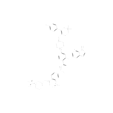 CC1(C)CCC(CN2CCN(c3ccc(C(=O)N[S+]([O-])c4ccc(NCC5CN(S(C)(=O)=O)CCO5)c([N+](=O)[O-])c4)c(Oc4cnc5[nH]ccc5c4)c3)CC2)=C(c2ccc(Cl)cc2)C1